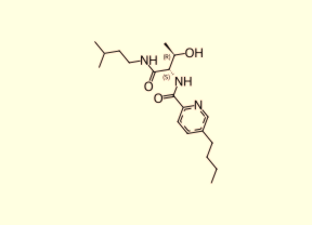 CCCCc1ccc(C(=O)N[C@H](C(=O)NCCC(C)C)[C@@H](C)O)nc1